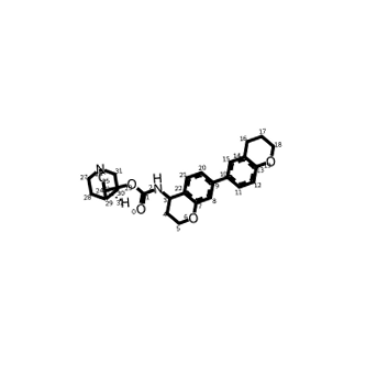 O=C(NC1CCOc2cc(-c3ccc4c(c3)CCCO4)ccc21)O[C@@H]1CN2CCC1CC2